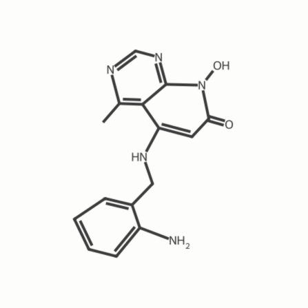 Cc1ncnc2c1c(NCc1ccccc1N)cc(=O)n2O